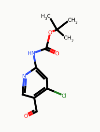 CC(C)(C)OC(=O)Nc1cc(Cl)c(C=O)cn1